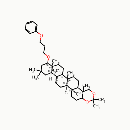 CC1(C)C[C@@H]2C3=CC[C@@H]4[C@@]5(C)CCC6OC(C)(C)OCC6(C)C5CC[C@@]4(C)[C@]3(C)CC[C@@]2(C)[C@H](OCCCOc2ccccc2)C1